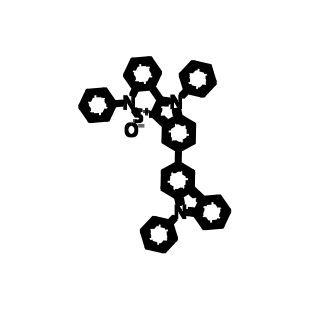 [O-][S+]1c2c(n(-c3ccccc3)c3ccc(-c4ccc5c(c4)c4ccccc4n5-c4ccccc4)cc23)-c2ccccc2N1c1ccccc1